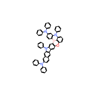 c1ccc(N(c2ccccc2)c2ccc3c(c2)N(c2ccccc2)c2cccc4c2B3c2cc3c(cc2O4)c2cc4ccc(N(c5ccccc5)c5ccccc5)cc4cc2n3-c2ccccc2)cc1